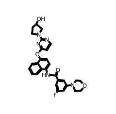 O=C(Nc1ccc(Oc2ccnc(N3CCC(O)C3)n2)c2ccccc12)c1cc(F)cc(N2CCOCC2)c1